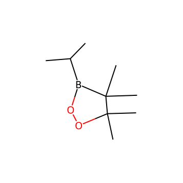 CC(C)B1OOC(C)(C)C1(C)C